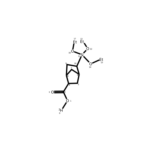 [2H]OC(=O)C1CC2CC1CC2[Si](OCC)(OCC)OCC